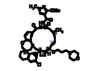 COc1nn(C)cc1C(=O)N[S@@]1(=O)=NC(=O)c2ccc3c(c2)N(C[C@@H]2CC[C@H]2[C@@H](OCCCN2CCOCC2)/C=C/C[C@H](C)C1)C[C@@]1(CCCc2cc(Cl)ccc21)CO3